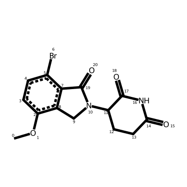 COc1ccc(Br)c2c1CN(C1CCC(=O)NC1=O)C2=O